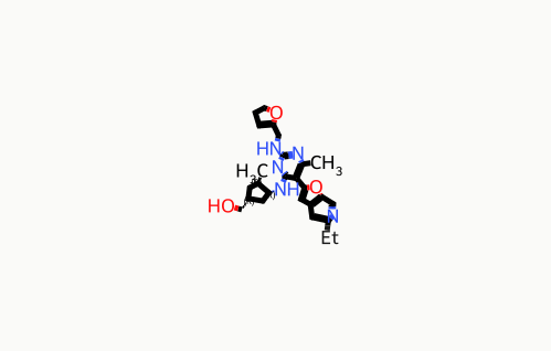 CCc1cc2cc(-c3c(C)nc(NCC4=CCCO4)nc3N[C@@H]3C[C@H](CO)C[C@H]3C)oc2cn1